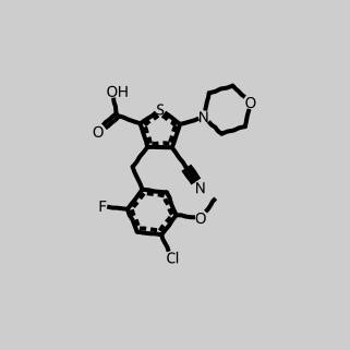 COc1cc(Cc2c(C(=O)O)sc(N3CCOCC3)c2C#N)c(F)cc1Cl